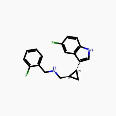 Fc1ccc2[nH]cc([C@@H]3C[C@H]3CNCc3ccccc3F)c2c1